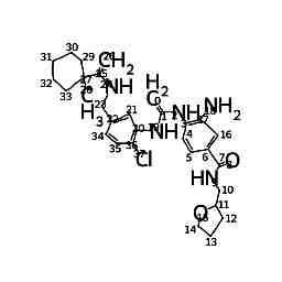 C=C(Nc1ccc(C(=O)NCC2CCCO2)cc1N)Nc1cc(CNC(=C)C2(C)CCCCC2)ccc1Cl